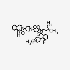 C=C(C)CCN1C(=O)[C@H](CC(=O)N2CCC(N3CCc4ccccc4NC3=O)CC2)SC1c1cccc(F)c1C1CCN(C)CC1